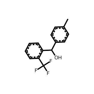 Cc1ccc(C(O)c2ccccc2C(F)(F)F)cc1